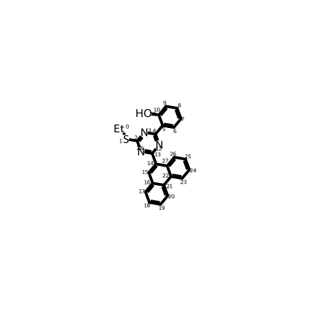 CCSc1nc(-c2ccccc2O)nc(-c2cc3ccccc3c3ccccc23)n1